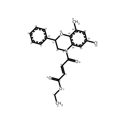 CCOC(=O)/C=C/C(=O)N1CC(c2ccccc2)Oc2c(C)cc(Cl)cc21